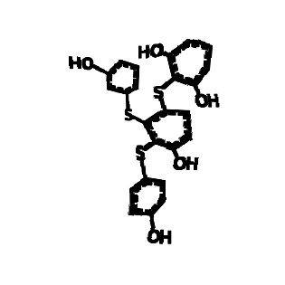 Oc1ccc(Sc2c(O)ccc(Sc3c(O)cccc3O)c2Sc2cccc(O)c2)cc1